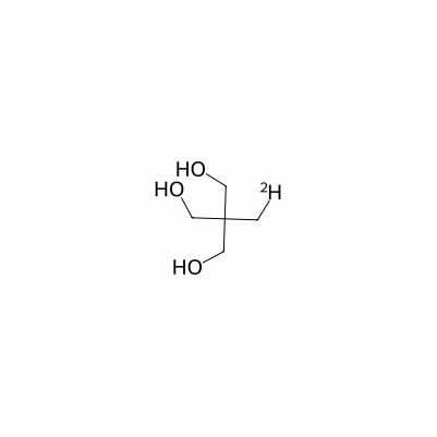 [2H]CC(CO)(CO)CO